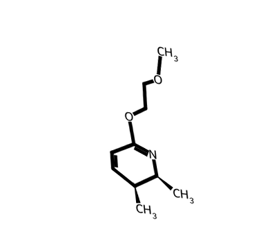 COCCOC1=N[C@@H](C)[C@@H](C)C=C1